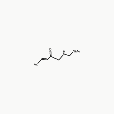 CNCNCC(=O)C=CC(C)=O